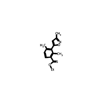 CCOC(=S)c1ccc(C)c(-c2cc(C)no2)c1C